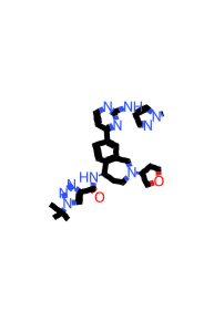 Cn1cc(Nc2nccc(-c3ccc4c(c3)CN([C@H]3CCOC3)CC[C@@H]4NC(=O)c3cn(C(C)(C)C)nn3)n2)cn1